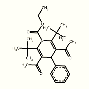 CCOC(=O)N1C(C(C)(C)C)=C(C(C)=O)C(c2ccccc2)C(C(C)=O)=C1C(C)(C)C